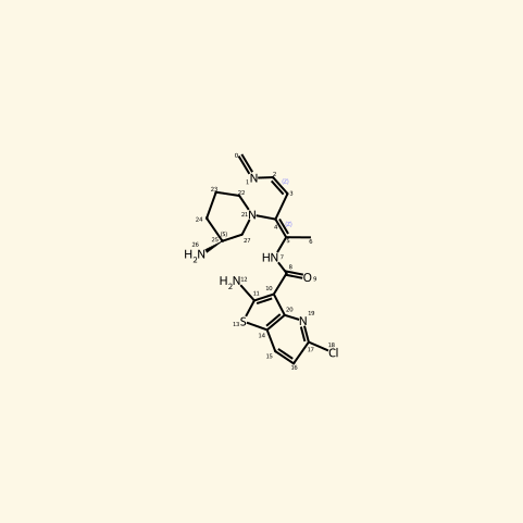 C=N/C=C\C(=C(/C)NC(=O)c1c(N)sc2ccc(Cl)nc12)N1CCC[C@H](N)C1